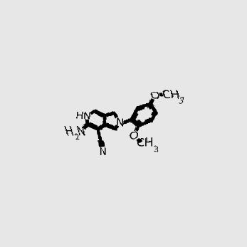 COc1ccc(OC)c(N2C=C3C(=CNC(N)=C3C#N)C2)c1